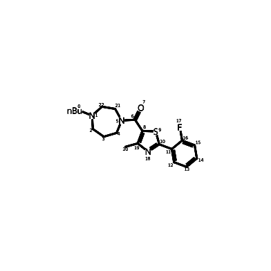 CCCCN1CCCN(C(=O)c2sc(-c3ccccc3F)nc2C)CC1